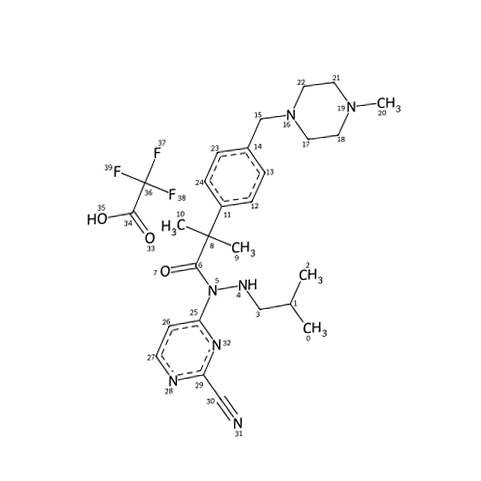 CC(C)CNN(C(=O)C(C)(C)c1ccc(CN2CCN(C)CC2)cc1)c1ccnc(C#N)n1.O=C(O)C(F)(F)F